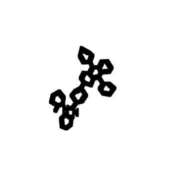 CC1C=CC=CC1N1C(C2C=CC(C3C=Cc4c(c(-c5ccccc5)c5ccccc5c4-c4ccccc4)C3)=CC2)=NC2CCC=CC21